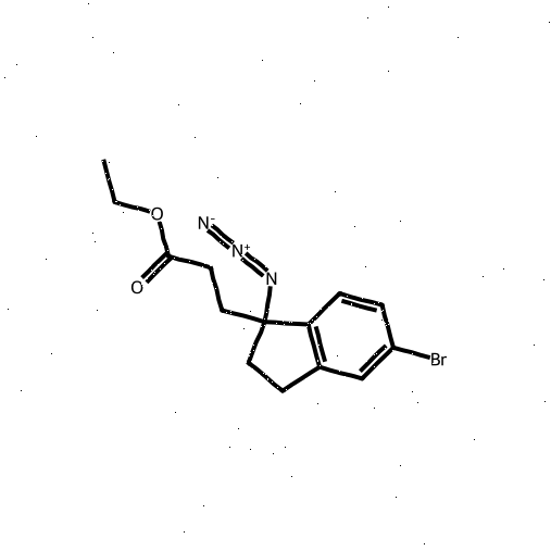 CCOC(=O)CCC1(N=[N+]=[N-])CCc2cc(Br)ccc21